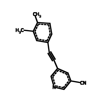 Cc1ccc(C#Cc2cncc(C#N)c2)cc1C